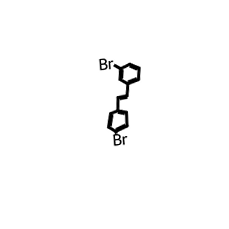 Brc1ccc(C=Cc2cccc(Br)c2)cc1